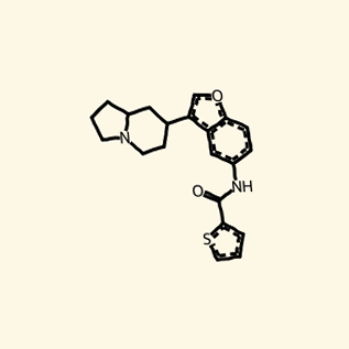 O=C(Nc1ccc2occ(C3CCN4CCCC4C3)c2c1)c1cccs1